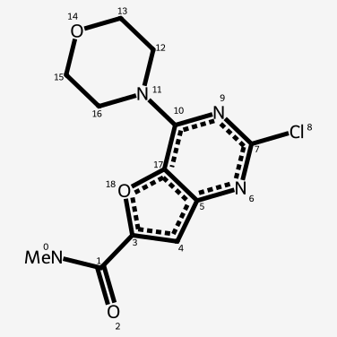 CNC(=O)c1cc2nc(Cl)nc(N3CCOCC3)c2o1